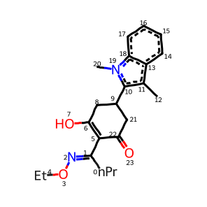 CCC/C(=N\OCC)C1=C(O)CC(c2c(C)c3ccccc3n2C)CC1=O